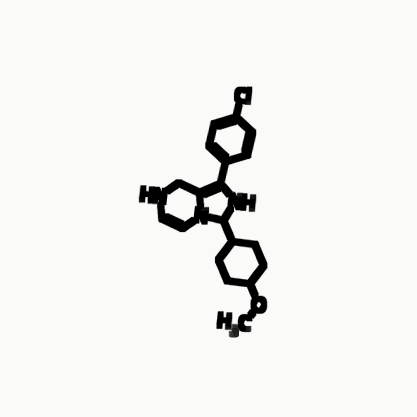 COC1CCC(C2NC(c3ccc(Cl)cc3)=C3CNC=CN32)CC1